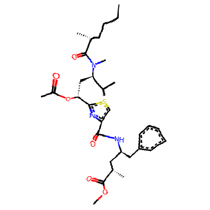 CCCC[C@@H](C)C(=O)N(C)[C@H](C[C@@H](OC(C)=O)c1nc(C(=O)N[C@@H](Cc2ccccc2)C[C@H](C)C(=O)OC)cs1)C(C)C